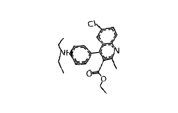 CCNCC.CCOC(=O)c1c(C)nc2ccc(Cl)cc2c1-c1ccccc1